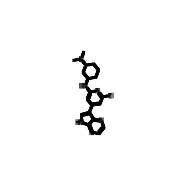 CN(C)C1CCCC(Nc2cc(-c3c[nH]c4nccnc34)cc(Cl)n2)C1